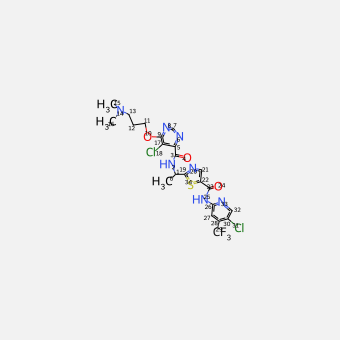 CC(NC(=O)c1ncnc(OCCCN(C)C)c1Cl)c1ncc(C(=O)Nc2cc(C(F)(F)F)c(Cl)cn2)s1